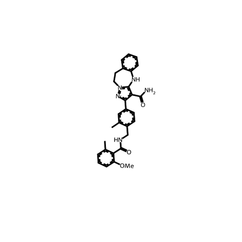 COc1cccc(C)c1C(=O)NCc1ccc(-c2nn3c(c2C(N)=O)Nc2ccccc2CC3)cc1C